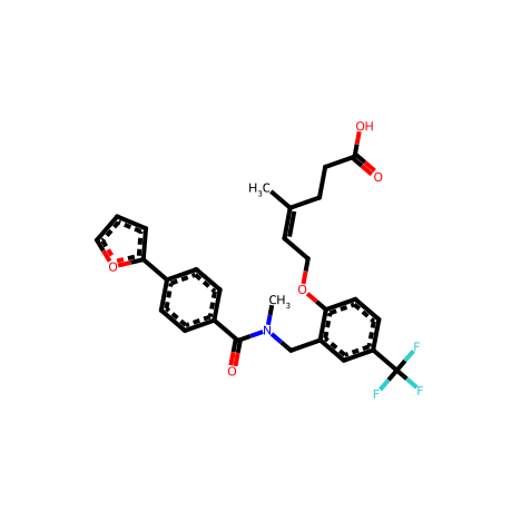 CC(=CCOc1ccc(C(F)(F)F)cc1CN(C)C(=O)c1ccc(-c2ccco2)cc1)CCC(=O)O